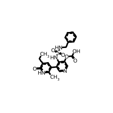 CCc1cc(-c2cncc(OC(=O)O)c2NS(=O)(=O)NCc2ccccc2)c(C)[nH]c1=O